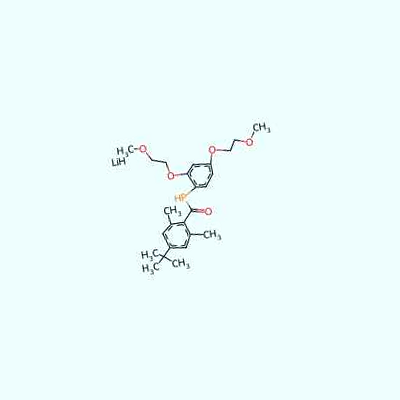 COCCOc1ccc(PC(=O)c2c(C)cc(C(C)(C)C)cc2C)c(OCCOC)c1.[LiH]